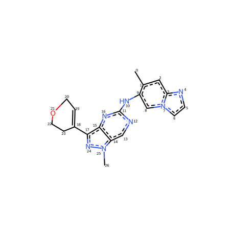 Cc1cc2nccn2cc1Nc1ncc2c(n1)c(C1=CCOCC1)nn2C